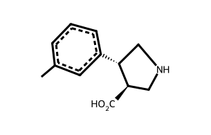 Cc1cccc([C@@H]2CNC[C@H]2C(=O)O)c1